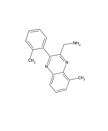 Cc1ccccc1-c1nc2cccc(C)c2nc1CN